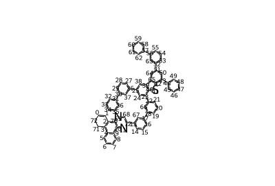 C1=Cc2c(c3ccccc3c3nc(-c4cccc(-c5cccc(-c6cc(-c7cccc(-c8ccccc8)c7)cc7c6sc6c(-c8ccccc8)cc(-c8cccc(-c9ccccc9)c8)cc67)c5)c4)cnc23)CC1